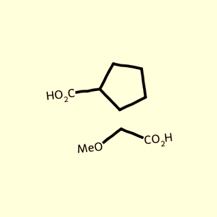 COCC(=O)O.O=C(O)C1CCCC1